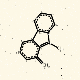 C=c1cncc2c1=C(C)c1ccccc1-2